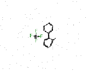 Cc1ccccc1-c1ccccc1.F[B-](F)(F)F